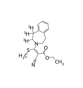 [3H]C1N(C(SC)=C(C#N)C(=O)OCC)CCc2ccccc2C1([3H])[3H]